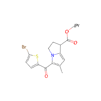 Cc1cc2n(c1C(=O)c1ccc(Br)s1)CCC2C(=O)OC(C)C